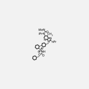 CCCc1nc2c(C)c(N(C(=O)NC)C(C)C)cnc2n1Cc1ccc(-c2ccccc2S(=O)(=O)NC(=O)OCc2ccccc2)cc1